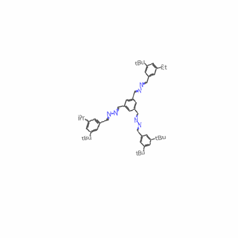 CCc1cc(/C=N/N=C/c2cc(/C=N/N=C/c3cc(C(C)C)cc(C(C)(C)C)c3)cc(/C=N/N=C/c3cc(C(C)(C)C)cc(C(C)(C)C)c3)c2)cc(C(C)(C)C)c1